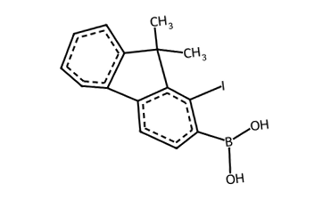 CC1(C)c2ccccc2-c2ccc(B(O)O)c(I)c21